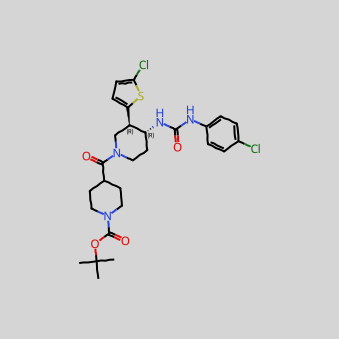 CC(C)(C)OC(=O)N1CCC(C(=O)N2CC[C@@H](NC(=O)Nc3ccc(Cl)cc3)[C@H](c3ccc(Cl)s3)C2)CC1